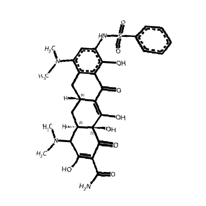 CN(C)c1cc(NS(=O)(=O)c2ccccc2)c(O)c2c1C[C@H]1C[C@@H]3C(N(C)C)C(O)=C(C(N)=O)C(=O)[C@@]3(O)C(O)=C1C2=O